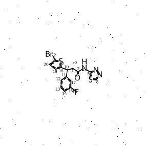 C[C@H](C(=O)Nc1nncs1)[C@@H](c1cccc(F)c1)c1ccc(Br)s1